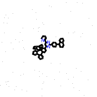 c1ccc(-c2cc(-c3ccc4c(c3)C3(c5ccccc5-c5ccccc5-4)c4ccccc4-c4ccccc43)nc(-c3ccc(-c4cccc5ccccc45)cc3)n2)nc1